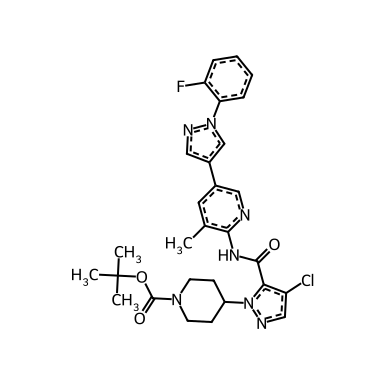 Cc1cc(-c2cnn(-c3ccccc3F)c2)cnc1NC(=O)c1c(Cl)cnn1C1CCN(C(=O)OC(C)(C)C)CC1